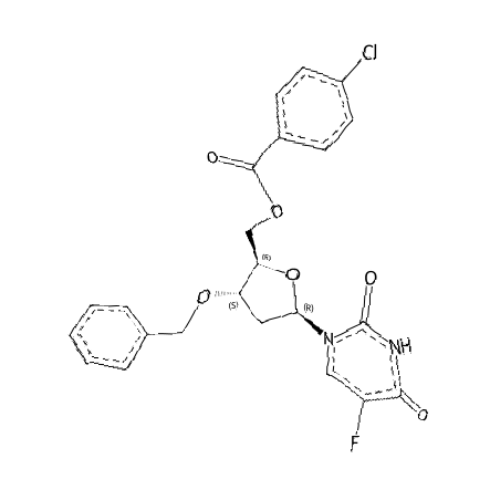 O=C(OC[C@H]1O[C@@H](n2cc(F)c(=O)[nH]c2=O)C[C@@H]1OCc1ccccc1)c1ccc(Cl)cc1